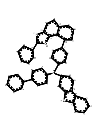 c1ccc(-c2ccc(N(c3ccc(-c4cccc5ccc6nc(-c7ccccc7)oc6c45)cc3)c3ccc4c(c3)oc3ccccc34)cc2)cc1